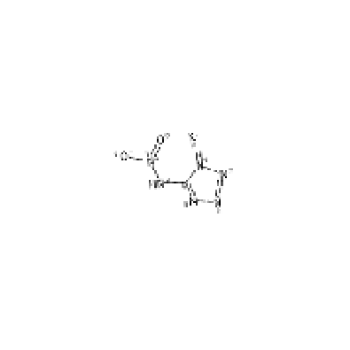 O=[N+]([O-])Nc1nnn[nH]1.[K]